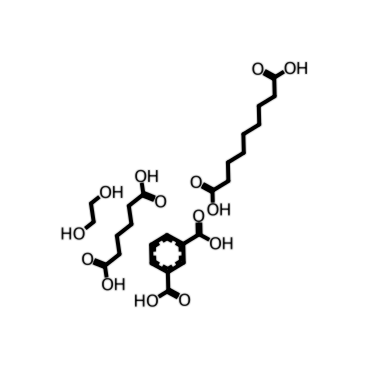 O=C(O)CCCCC(=O)O.O=C(O)CCCCCCCC(=O)O.O=C(O)c1cccc(C(=O)O)c1.OCCO